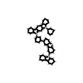 c1ccc(-n2c3ccccc3c3cc4c5ccccc5n(-c5cccc(-c6ccc7sc8ccc(-n9c%10ccccc%10c%10ccccc%109)cc8c7c6)c5)c4cc32)cc1